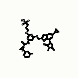 Cc1ccnc([C@H]2C[C@@H]2C(=O)Nc2cc(OCc3cn4cc(C5CC5)cc(N5CC(=O)N(C)C5=O)c4n3)nc(OCCCS(=O)(=O)O)n2)n1